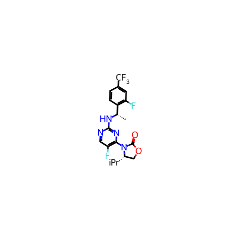 CC(C)[C@H]1COC(=O)N1c1nc(N[C@@H](C)c2ccc(C(F)(F)F)cc2F)ncc1F